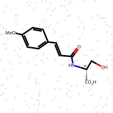 COc1ccc(C=CC(=O)N[C@H](CO)C(=O)O)cc1